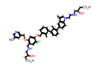 Cc1c(COc2cc(OCc3cncc(C#N)c3)c(CNCC(O)CC(=O)O)cc2Cl)cccc1-c1cccc(-c2ccc3c(c2)c(C)cn3CCNCC(O)CC(=O)O)c1C